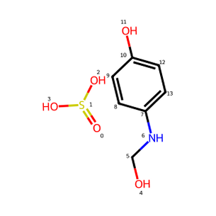 O=S(O)O.OCNc1ccc(O)cc1